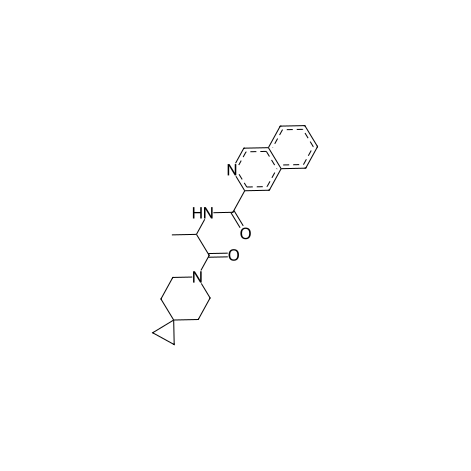 CC(NC(=O)c1cc2ccccc2cn1)C(=O)N1CCC2(CC1)CC2